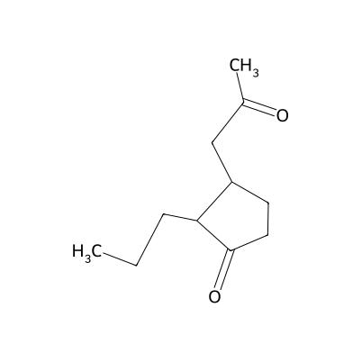 CCCC1C(=O)CCC1CC(C)=O